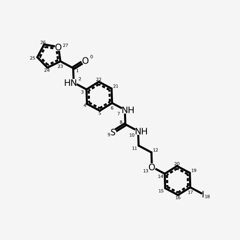 O=C(Nc1ccc(NC(=S)NCCOc2ccc(I)cc2)cc1)c1ccco1